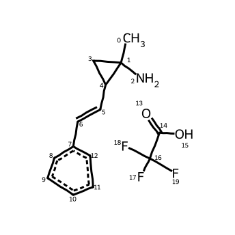 CC1(N)CC1C=Cc1ccccc1.O=C(O)C(F)(F)F